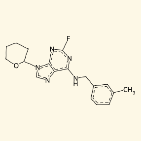 Cc1cccc(CNc2nc(F)nc3c2ncn3C2CCCCO2)c1